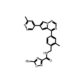 Cc1cc(-c2cc3c(-c4ccc(CNC(=O)c5noc(C(C)(C)C)n5)c(C)c4)ncnn3c2)cnn1